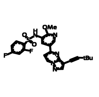 COc1ncc(-c2ccn3ncc(C#CC(C)(C)C)c3n2)cc1NS(=O)(=O)c1ccc(F)cc1F